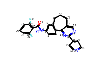 O=C(Nc1ccc2c(c1)CCCc1cnc(-c3ccncc3)nc1-2)c1c(F)cccc1F